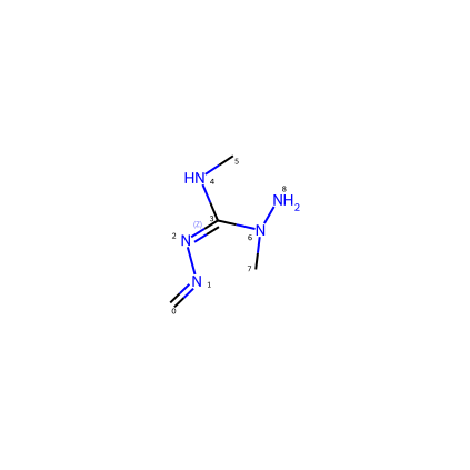 C=N/N=C(/NC)N(C)N